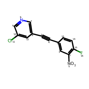 O=[N+]([O-])c1cc(C#Cc2cncc(Cl)c2)ccc1F